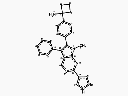 Cn1c(-c2ccc(C3(N)CCC3)cc2)c(-c2ccccc2)c2cnc(-c3cn[nH]c3)nc21